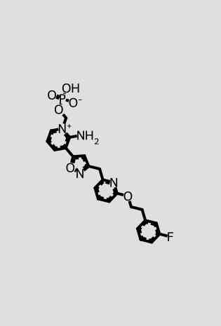 Nc1c(-c2cc(Cc3cccc(OCCc4cccc(F)c4)n3)no2)ccc[n+]1COP(=O)([O-])O